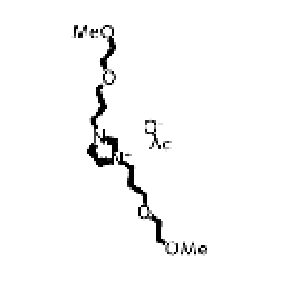 CC(=O)[O-].COCCOCCCn1cc[n+](CCCOCCOC)c1